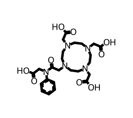 O=C(O)CN1CCN(CC(=O)O)CCN(CC(=O)N(CC(=O)O)c2ccccc2)CCN(CC(=O)O)CC1